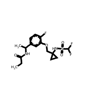 CCC(=O)NC(C)c1ccc(F)c(OCC2(NS(=O)(=O)C(F)F)CC2)c1